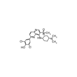 CN(C)C1CCC(Nc2c(S(C)(=O)=O)cnc3ccc(-c4cc(Cl)c(O)c(Cl)c4)nc23)CC1